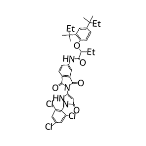 CCC(Oc1ccc(C(C)(C)CC)cc1C(C)(C)CC)C(=O)Nc1ccc2c(c1)C(=O)N(c1cc(=O)n(-c3c(Cl)cc(Cl)cc3Cl)[nH]1)C2=O